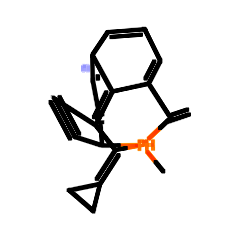 C=C1c2ccc/c3c2=C2C#CC(C/C=3)[PH]1(C)C2=C1CC1